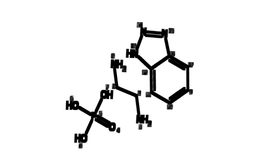 NCCN.O=P(O)(O)O.c1ccc2[nH]nnc2c1